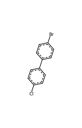 Clc1ccc(-c2ccc(Br)cc2)cc1